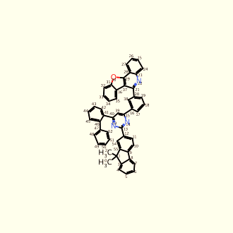 CC1(C)c2ccccc2-c2ccc(-c3nc(-c4cccc(-c5nc6ccccc6c6oc7ccccc7c56)c4)cc(-c4ccccc4-c4ccccc4)n3)cc21